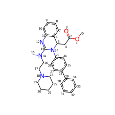 COC(=O)CC1c2ccccc2N=C(N(C)CCN2CCCCC2)N1c1ccc(-c2ccccc2)cc1